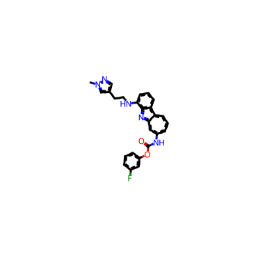 Cn1cc(CCNc2cccc3c4cccc(NC(=O)Oc5cccc(F)c5)cc-4nc23)cn1